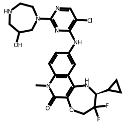 Cn1c(=O)c2c(c3cc(Nc4nc(N5CCNCC(O)C5)ncc4Cl)ccc31)N[C@@H](C1CC1)C(F)(F)CO2